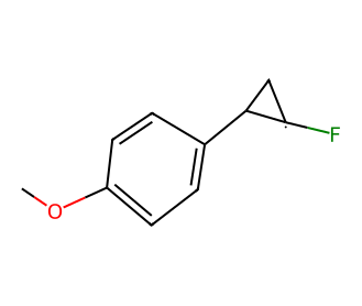 COc1ccc(C2C[C]2F)cc1